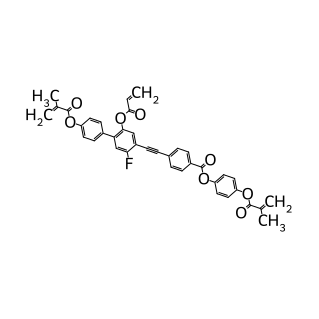 C=CC(=O)Oc1cc(C#Cc2ccc(C(=O)Oc3ccc(OC(=O)C(=C)C)cc3)cc2)c(F)cc1-c1ccc(OC(=O)C(=C)C)cc1